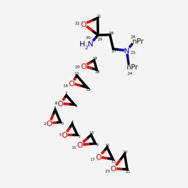 C1CO1.C1CO1.C1CO1.C1CO1.C1CO1.C1CO1.C1CO1.C1CO1.CCCN(CCC)CCC1(N)CO1